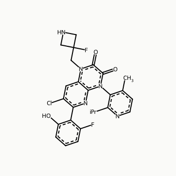 Cc1ccnc(C(C)C)c1-n1c(=O)c(=O)n(CC2(F)CNC2)c2cc(Cl)c(-c3c(O)cccc3F)nc21